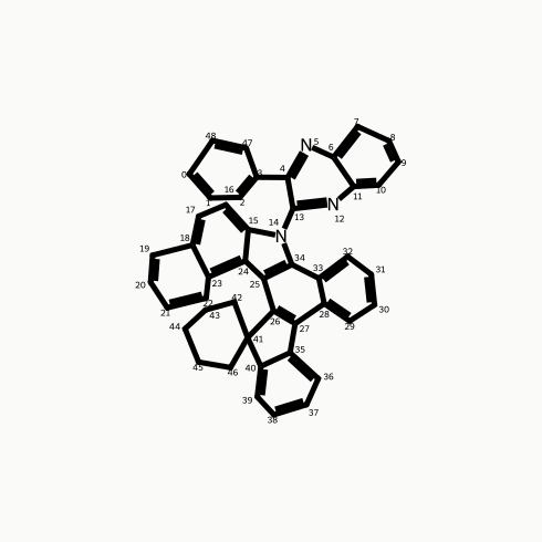 c1ccc(-c2nc3ccccc3nc2-n2c3ccc4ccccc4c3c3c4c(c5ccccc5c32)-c2ccccc2C42CCCCC2)cc1